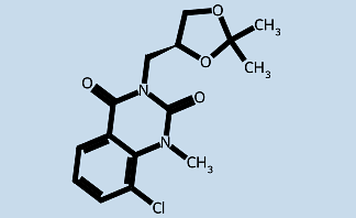 Cn1c(=O)n(C[C@H]2COC(C)(C)O2)c(=O)c2cccc(Cl)c21